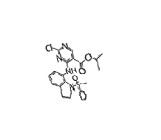 CC(C)OC(=O)c1cnc(Cl)nc1Nc1cccc2c1N(S(C)(=O)=O)CC2